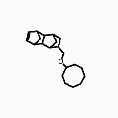 C1=CC2CC1C1C3CC(COC4CCCCCCC4)C(C3)C21